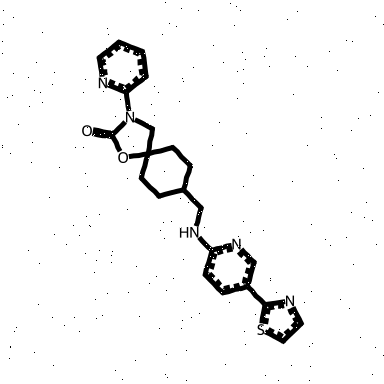 O=C1OC2(CCC(CNc3ccc(-c4nccs4)cn3)CC2)CN1c1ccccn1